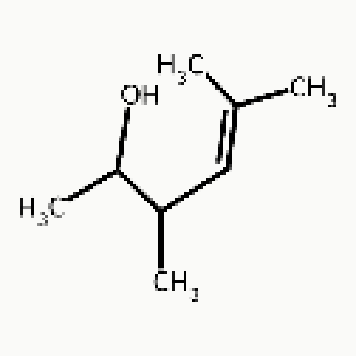 CC(C)=CC(C)C(C)O